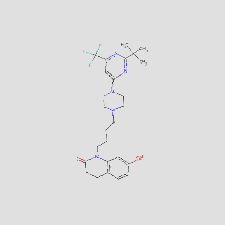 CC(C)(C)c1nc(N2CCN(CCCCN3C(=O)CCc4ccc(O)cc43)CC2)cc(C(F)(F)F)n1